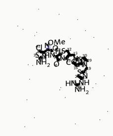 CO/N=C(\C(=O)N[C@@H]1C(=O)N2C(C(=O)O)=C(C[n+]3ccc4n(Cc5nc(NC(=N)N)cs5)ccn43)CS[C@H]12)c1nc(N)sc1Cl